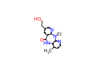 CCN1c2ncc(CCO)cc2C(=O)Nc2c(C)ccnc21